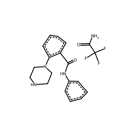 NC(=O)C(F)(F)F.O=C(Nc1ccccc1)c1ccccc1N1CCNCC1